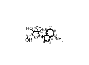 C[C@@]1(O)[C@H](O)[C@@H](CO)O[C@H]1n1ccc2c(N)cccc21